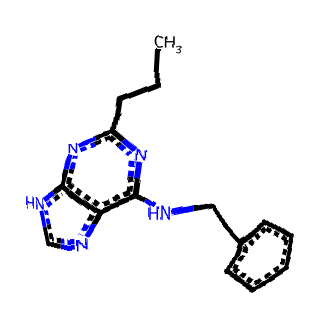 CCCc1nc(NCc2ccccc2)c2nc[nH]c2n1